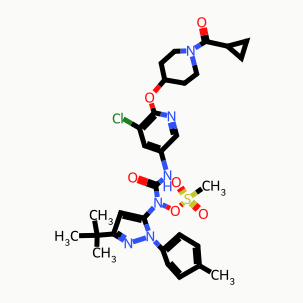 Cc1ccc(-n2nc(C(C)(C)C)cc2N(OS(C)(=O)=O)C(=O)Nc2cnc(OC3CCN(C(=O)C4CC4)CC3)c(Cl)c2)cc1